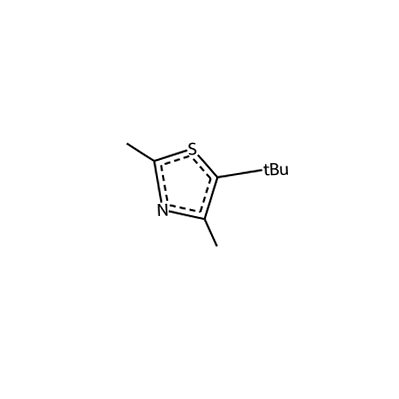 Cc1nc(C)c(C(C)(C)C)s1